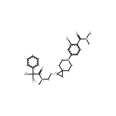 CC(C)N(C)C(=O)c1ccc(N2CCC3(CC2)C[C@@H]3CCN(C)C(=O)C(O)(c2ccccc2)C(F)(F)F)cc1Cl